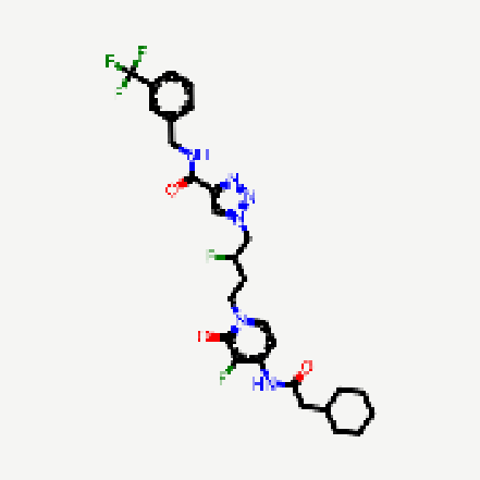 O=C(CC1CCCCC1)Nc1ccn(CCC(F)Cn2cc(C(=O)NCc3cccc(C(F)(F)F)c3)nn2)c(=O)c1F